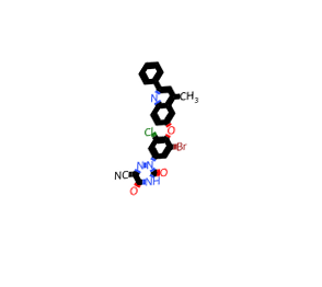 Cc1cc(-c2ccccc2)nc2ccc(Oc3c(Cl)cc(-n4nc(C#N)c(=O)[nH]c4=O)cc3Br)cc12